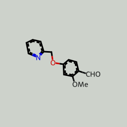 COc1cc(OCc2ccccn2)ccc1C=O